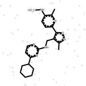 Cc1nc(-c2onc(C)c2CNc2nccc(C3CCCCC3)n2)ccc1NC(=O)O